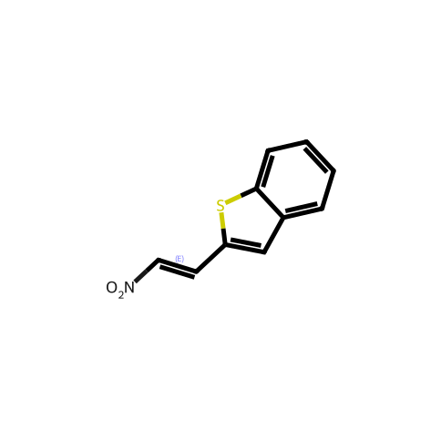 O=[N+]([O-])/C=C/c1cc2ccccc2s1